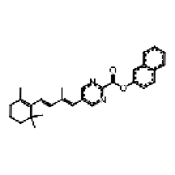 CC1=C(C=C/C(C)=C/c2cnc(C(=O)Oc3ccc4ccccc4c3)nc2)C(C)(C)CCC1